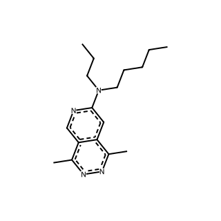 CCCCCN(CCC)c1cc2c(C)nnc(C)c2cn1